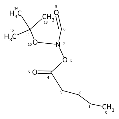 CCCCC(=O)ON(C=O)OC(C)(C)C